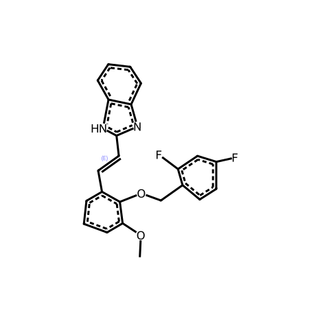 COc1cccc(/C=C/c2nc3ccccc3[nH]2)c1OCc1ccc(F)cc1F